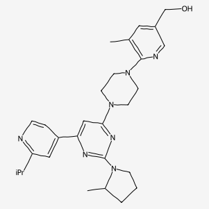 Cc1cc(CO)cnc1N1CCN(c2cc(-c3ccnc(C(C)C)c3)nc(N3CCCC3C)n2)CC1